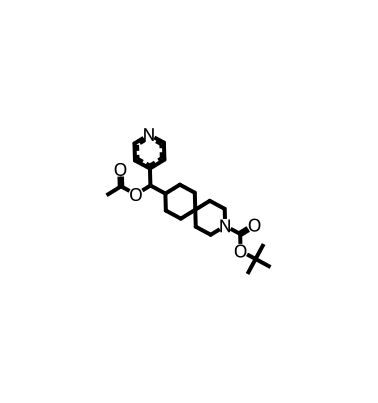 CC(=O)OC(c1ccncc1)C1CCC2(CC1)CCN(C(=O)OC(C)(C)C)CC2